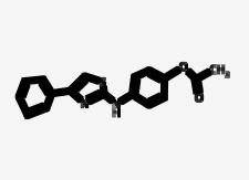 CC(=O)Oc1ccc(Nc2nc(-c3ccccc3)cs2)cc1